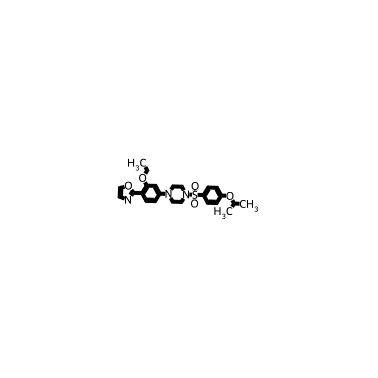 CCOc1cc(N2CCN(S(=O)(=O)c3ccc(OC(C)C)cc3)CC2)ccc1-c1ncco1